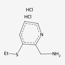 CCSc1cccnc1CN.Cl.Cl